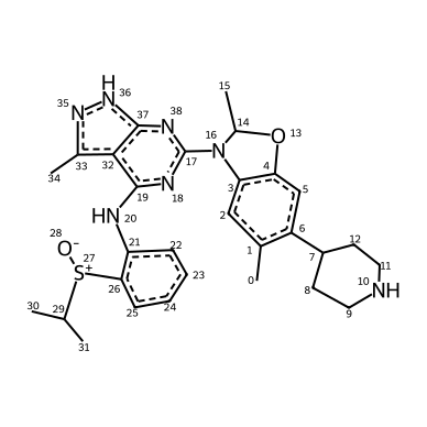 Cc1cc2c(cc1C1CCNCC1)OC(C)N2c1nc(Nc2ccccc2[S+]([O-])C(C)C)c2c(C)n[nH]c2n1